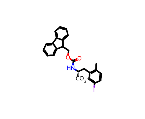 Cc1ccc(I)cc1C[C@H](NC(=O)OCC1c2ccccc2-c2ccccc21)C(=O)O